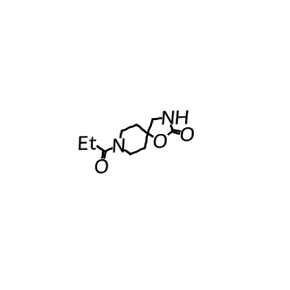 CCC(=O)N1CCC2(CC1)CNC(=O)O2